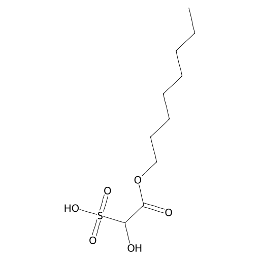 CCCCCCCCOC(=O)C(O)S(=O)(=O)O